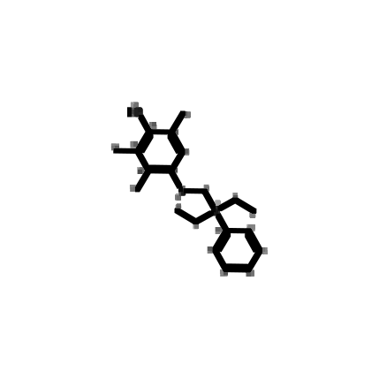 CC[Si](CC)(CSc1cc(C)c(O)c(C)c1C)c1ccccc1